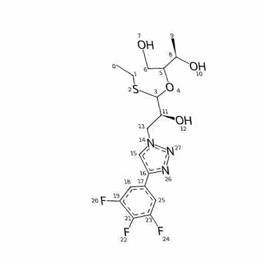 CCSC(OC(CO)[C@@H](C)O)[C@@H](O)Cn1cc(-c2cc(F)c(F)c(F)c2)nn1